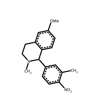 COc1ccc2c(c1)CCN(C)C2c1ccc([N+](=O)[O-])c(C)c1